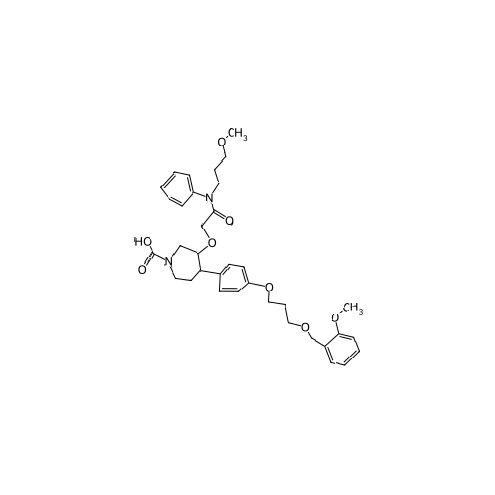 COCCCN(C(=O)COC1CN(C(=O)O)CCC1c1ccc(OCCCOCc2ccccc2OC)cc1)c1ccccc1